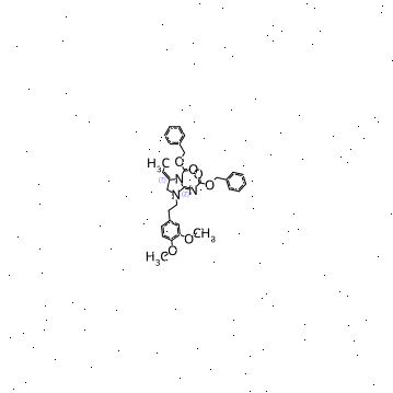 C/C=C1/CN(CCc2ccc(OC)c(OC)c2)/C(=N/C(=O)OCc2ccccc2)N1C(=O)OCc1ccccc1